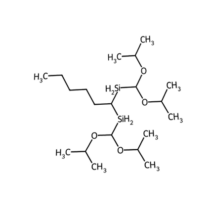 CCCCCC([SiH2]C(OC(C)C)OC(C)C)[SiH2]C(OC(C)C)OC(C)C